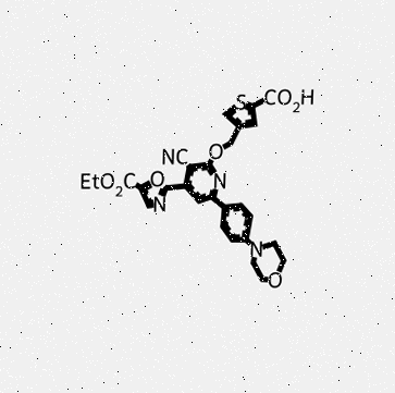 CCOC(=O)c1cnc(-c2cc(-c3ccc(N4CCOCC4)cc3)nc(OCc3csc(C(=O)O)c3)c2C#N)o1